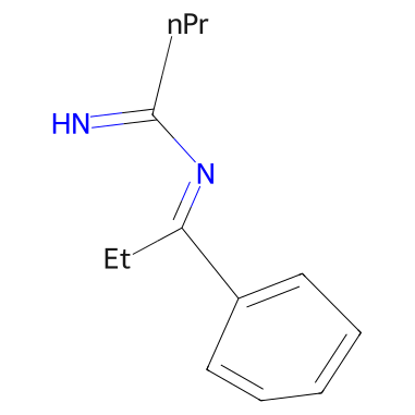 CCCC(=N)/N=C(\CC)c1ccccc1